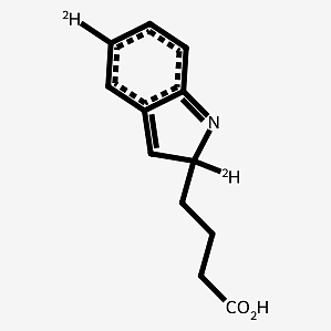 [2H]c1ccc2c(c1)=CC([2H])(CCCC(=O)O)N=2